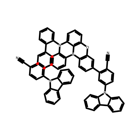 N#Cc1ccc(-n2c3ccccc3c3ccccc32)c(-c2ccc3c(c2)N(c2ccccc2-c2ccccc2)c2cccc4c2B3c2ccc(-c3cc(-n5c6ccccc6c6ccccc65)ccc3C#N)cc2O4)c1